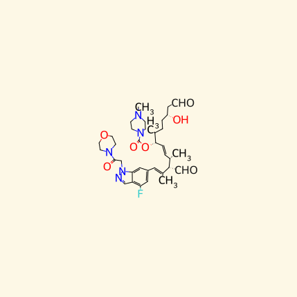 C/C(=C\c1cc(F)c2cnn(CC(=O)N3CCOCC3)c2c1)[C@@H](C=O)[C@@H](C)/C=C/[C@H](OC(=O)N1CCN(C)CC1)[C@@H](C)CC[C@@H](O)CC=O